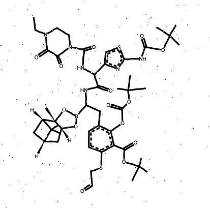 CCN1CCN(C(=O)NC(C(=O)NC(Cc2ccc(SCC=O)c(C(=O)OC(C)(C)C)c2OC(=O)OC(C)(C)C)B2O[C@@H]3C[C@@H]4C[C@@H](C4(C)C)[C@]3(C)O2)c2csc(NC(=O)OC(C)(C)C)n2)C(=O)C1=O